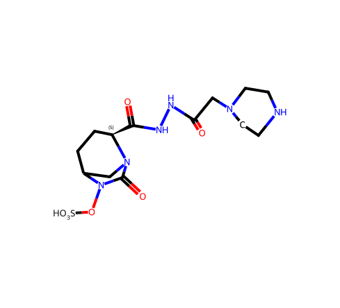 O=C(CN1CCNCC1)NNC(=O)[C@@H]1CCC2CN1C(=O)N2OS(=O)(=O)O